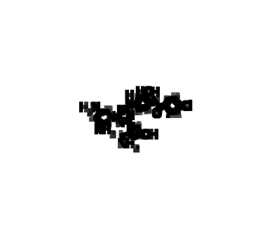 NC[C@@H]1C[C@@H](O)CN1c1nc(Nc2ccc(NC(=O)c3ccc(Cl)cc3)c(O)c2)nc(N2C[C@H](N)C[C@H](N)C2)n1